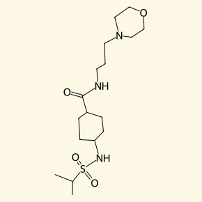 CC(C)S(=O)(=O)NC1CCC(C(=O)NCCCN2CCOCC2)CC1